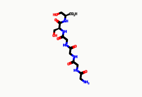 NCC(=O)NCC(=O)NCC(=O)NCC(=O)N[C@@H](CO)C(=O)N[C@@H](CO)C(=O)O